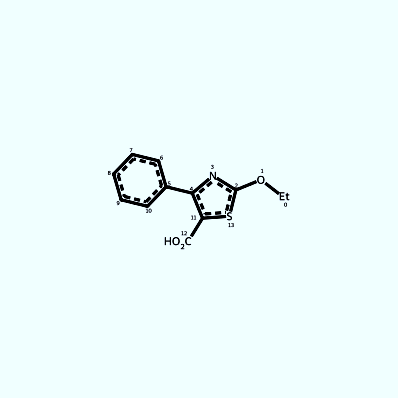 CCOc1nc(-c2ccccc2)c(C(=O)O)s1